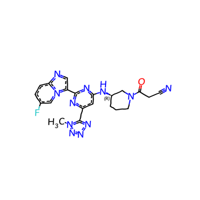 Cn1nnnc1-c1cc(N[C@@H]2CCCN(C(=O)CC#N)C2)nc(-c2cnc3ccc(F)cn23)n1